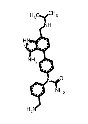 CC(C)NCc1ccc(-c2ccc(N(C(N)=O)c3cccc(CN)c3)cc2)c2c(N)n[nH]c12